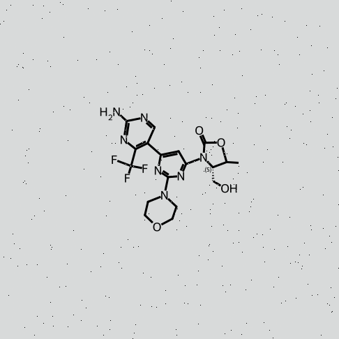 CC1OC(=O)N(c2cc(-c3cnc(N)nc3C(F)(F)F)nc(N3CCOCC3)n2)[C@H]1CO